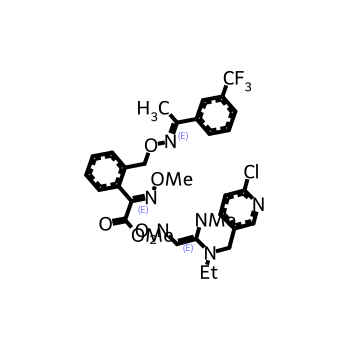 CCN(Cc1ccc(Cl)nc1)/C(=C/[N+](=O)[O-])NC.CO/N=C(/C(=O)OC)c1ccccc1CO/N=C(\C)c1cccc(C(F)(F)F)c1